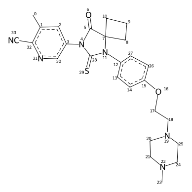 Cc1cc(N2C(=O)C3(CCC3)N(c3ccc(OCCN4CCN(C)CC4)cc3)C2=S)cnc1C#N